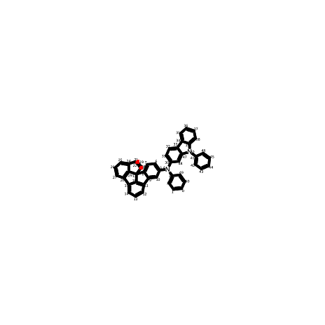 c1ccc(N(c2ccc3c(c2)-c2cccc4c2C32c3ccccc3-c3cccc-4c32)c2ccc3c4ccccc4n(-c4ccccc4)c3c2)cc1